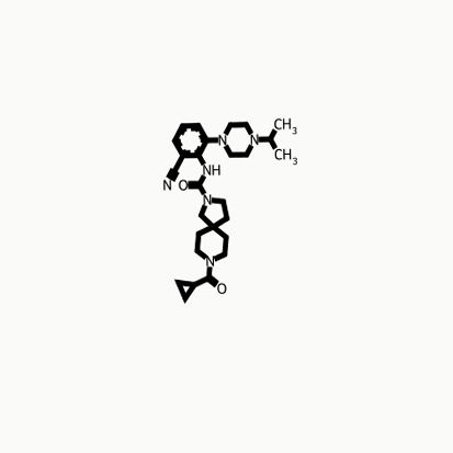 CC(C)N1CCN(c2cccc(C#N)c2NC(=O)N2CCC3(CCN(C(=O)C4CC4)CC3)C2)CC1